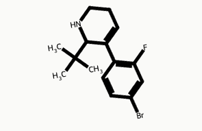 CC(C)(C)C1NCCC=C1c1ccc(Br)cc1F